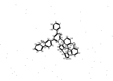 c1ccc(-c2cc(-c3ccc4c(c3)sc3ccccc34)nc(-c3ccc4c(c3)C3(c5ccccc5O4)c4ccccc4-c4ccccc43)n2)cc1